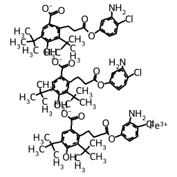 CC(C)(C)c1cc(C(=O)[O-])c(CCC(=O)Oc2ccc(Cl)c(N)c2)c(C(C)(C)C)c1O.CC(C)(C)c1cc(C(=O)[O-])c(CCC(=O)Oc2ccc(Cl)c(N)c2)c(C(C)(C)C)c1O.CC(C)(C)c1cc(C(=O)[O-])c(CCC(=O)Oc2ccc(Cl)c(N)c2)c(C(C)(C)C)c1O.[Fe+3]